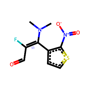 CN(C)/C(=C(\F)C=O)c1ccsc1[N+](=O)[O-]